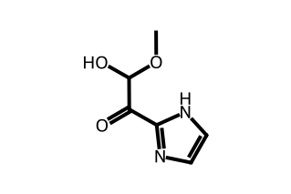 COC(O)C(=O)c1ncc[nH]1